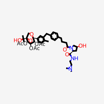 CC(=O)O[C@@H]1[C@@H](OC(C)=O)[C@@]2(c3ccc(C)c(Cc4ccc(CCCC(=O)N5C[C@@H](O)C[C@H]5C(=O)NCCN(C)C)cc4)c3)OC[C@](C(C)(C)O)(O2)[C@H]1OC(C)=O